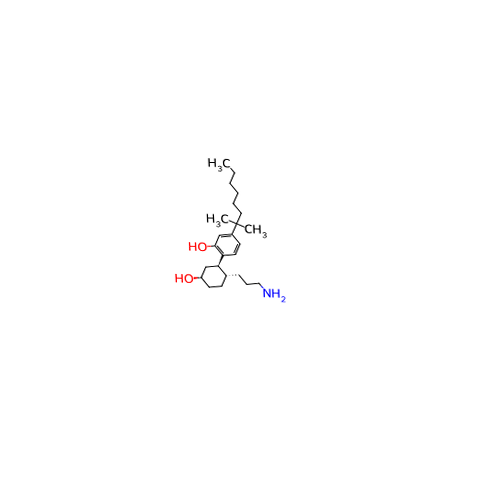 CCCCCCC(C)(C)c1ccc([C@@H]2C[C@H](O)CC[C@H]2CCCN)c(O)c1